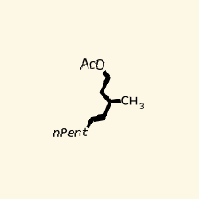 CCCCCC=CC(C)CCOC(C)=O